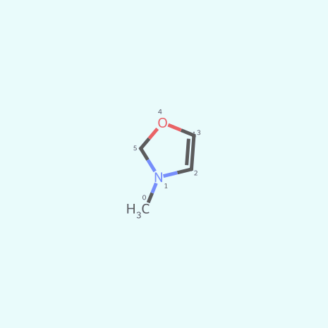 CN1C=[C]OC1